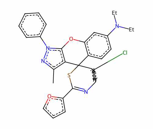 CCN(CC)c1ccc2c(c1)Oc1c(c(C)nn1-c1ccccc1)C21SC(c2ccco2)=Nc2ccc(Cl)cc21